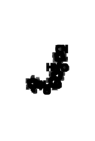 Cc1ccccc1CNC(=O)C1COc2ccc(NC(=O)c3ccc(C#N)cc3)cc2C1